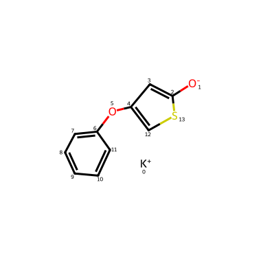 [K+].[O-]c1cc(Oc2ccccc2)cs1